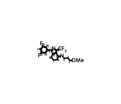 COCCC/N=C1\CCCc2c1c(C(F)(F)F)nn2-c1cc(F)cc(F)c1